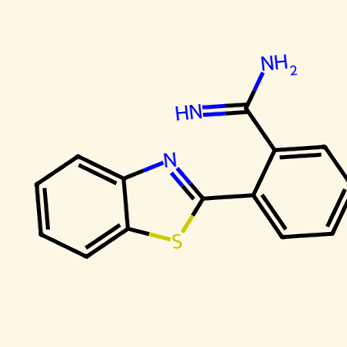 N=C(N)c1ccccc1-c1nc2ccccc2s1